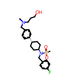 CN(CCCO)Cc1ccc([C@H]2CC[C@H](N(Cc3ccc(F)cc3)S(C)(=O)=O)CC2)cc1